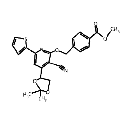 COC(=O)c1ccc(COc2nc(-c3cccs3)cc(C3COC(C)(C)O3)c2C#N)cc1